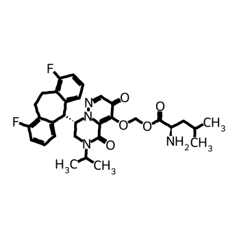 CC(C)C[C@@H](N)C(=O)OCOc1c2n(ncc1=O)[C@@H](C1c3cccc(F)c3CCc3c(F)cccc31)CN(C(C)C)C2=O